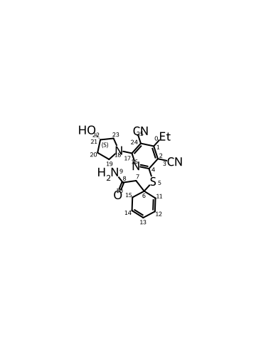 CCc1c(C#N)c(SC2(CC(N)=O)C=CC=CC2)nc(N2CC[C@H](O)C2)c1C#N